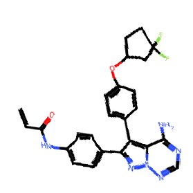 C=CC(=O)Nc1ccc(-c2nn3ncnc(N)c3c2-c2ccc(OC3CCC(F)(F)C3)cc2)cc1